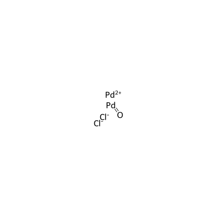 [Cl-].[Cl-].[O]=[Pd].[Pd+2]